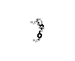 COc1ccc(COc2ncc(F)c(/N=C/N(C)C)n2)cc1